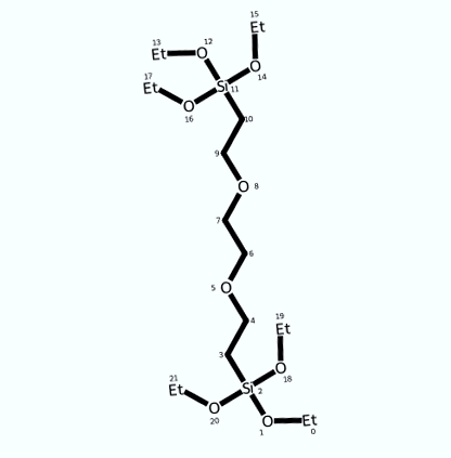 CCO[Si](CCOCCOCC[Si](OCC)(OCC)OCC)(OCC)OCC